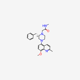 CNC(=O)CN1CCN(c2ccc(OC)c3nc(C)ccc23)C[C@@H]1Cc1ccccc1